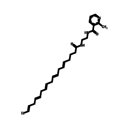 CCC=CCC=CCC=CCC=CCC=CCCCC(=O)NCCNC(=O)c1cccnc1C